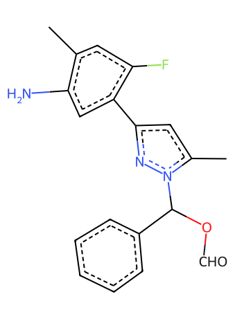 Cc1cc(F)c(-c2cc(C)n(C(OC=O)c3ccccc3)n2)cc1N